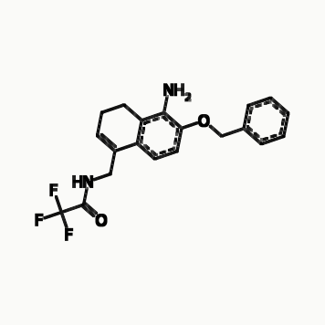 Nc1c(OCc2ccccc2)ccc2c1CCC=C2CNC(=O)C(F)(F)F